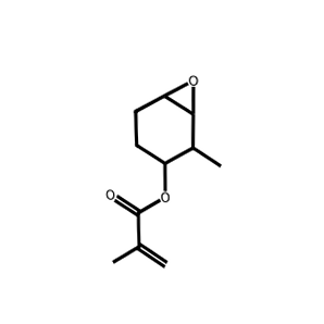 C=C(C)C(=O)OC1CCC2OC2C1C